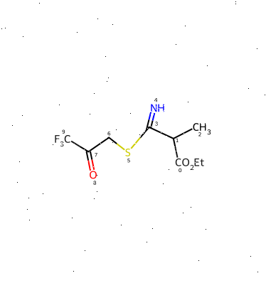 CCOC(=O)C(C)C(=N)SCC(=O)C(F)(F)F